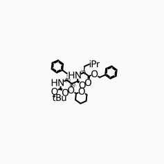 CC(C)C[C@H](NC(=O)[C@@H](OC1CCCCO1)[C@@H](Cc1ccccc1)NC(=O)OC(C)(C)C)C(=O)OCc1ccccc1